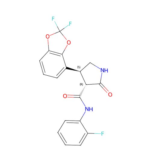 O=C1NC[C@H](c2cccc3c2OC(F)(F)O3)[C@H]1C(=O)Nc1ccccc1F